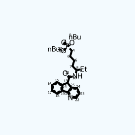 CCCCOP(=O)(CCCCC(CC)NC(=O)C1c2ccccc2-c2ncccc21)OCCCC